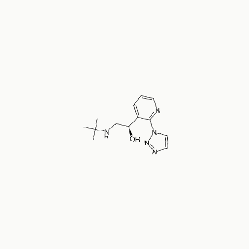 CC(C)(C)NC[C@H](O)c1cccnc1-n1ccnn1